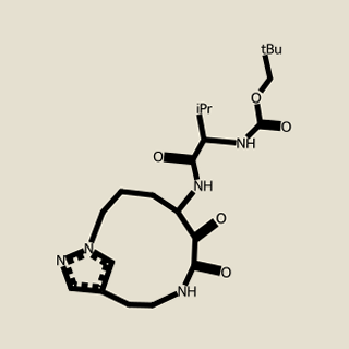 CC(C)C(NC(=O)OCC(C)(C)C)C(=O)NC1CCCn2cc(cn2)CCNC(=O)C1=O